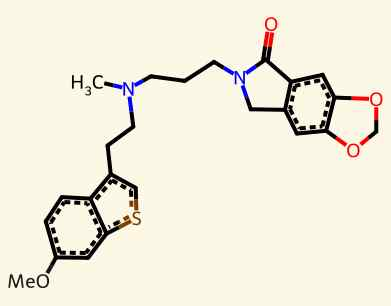 COc1ccc2c(CCN(C)CCCN3Cc4cc5c(cc4C3=O)OCO5)csc2c1